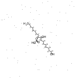 CCCCCCCCC(OC(=O)O)C(O)CCCCCCCCO